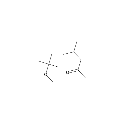 CC(=O)CC(C)C.COC(C)(C)C